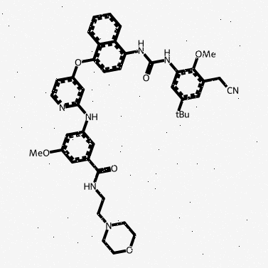 COc1cc(Nc2cc(Oc3ccc(NC(=O)Nc4cc(C(C)(C)C)cc(CC#N)c4OC)c4ccccc34)ccn2)cc(C(=O)NCCN2CCOCC2)c1